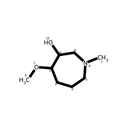 COC1CCCN(C)CC1O